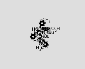 CC[C@H](C)[C@H](C(=O)N[C@@H](Cc1ccccc1)[C@@H](O)CN(Cc1ccc(C)cc1)NC(=O)[C@@H](NC(=O)O)C(C)(C)C)C1CNC(=O)N1Cc1cccc(C)n1